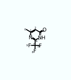 Cc1cc(=O)[nH]c(C(F)(F)F)n1